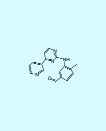 Cc1ccc([C]=O)cc1Nc1nccc(-c2cccnc2)n1